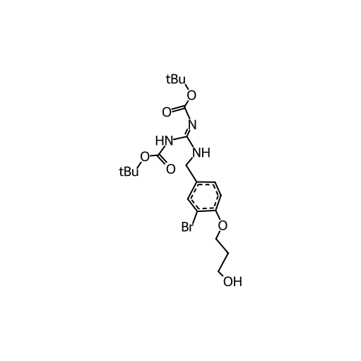 CC(C)(C)OC(=O)/N=C(/NCc1ccc(OCCCO)c(Br)c1)NC(=O)OC(C)(C)C